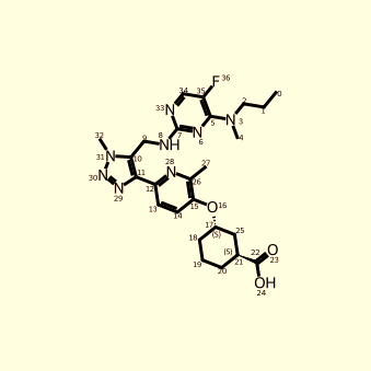 CCCN(C)c1nc(NCc2c(-c3ccc(O[C@H]4CCC[C@H](C(=O)O)C4)c(C)n3)nnn2C)ncc1F